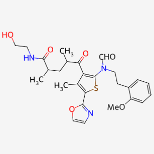 COc1ccccc1CCN(C=O)c1sc(-c2ncco2)c(C)c1C(=O)C(C)CC(C)C(=O)NCCO